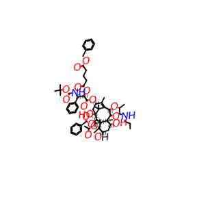 CCCNCC(C)O[C@H]1C(=O)[C@@]2(C)[C@H]([C@H](OC(=O)c3ccccc3)[C@]3(O)C[C@H](OC(=O)[C@H](OC(=O)CCCC(=O)OCc4ccccc4)[C@@H](NC(=O)OC(C)(C)C)c4ccccc4)C(C)=C1C3(C)C)[C@]1(OC(C)=O)CO[C@@H]1C[C@@H]2O